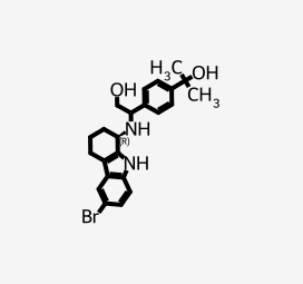 CC(C)(O)c1ccc(C(CO)N[C@@H]2CCCc3c2[nH]c2ccc(Br)cc32)cc1